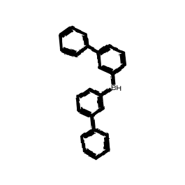 B(c1cccc(-c2ccccc2)c1)c1cccc(-c2ccccc2)c1